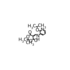 CC(C)Oc1ncccc1NC=C1C(=O)OC(C)(C)OC1=O